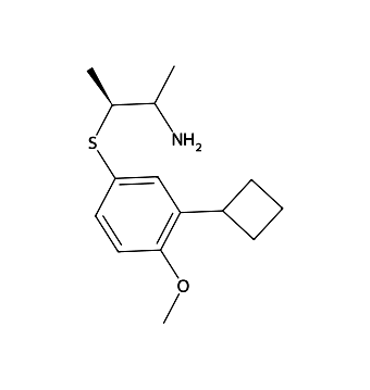 COc1ccc(S[C@@H](C)C(C)N)cc1C1CCC1